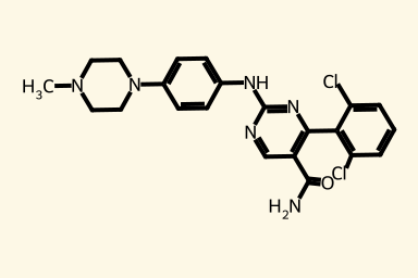 CN1CCN(c2ccc(Nc3ncc(C(N)=O)c(-c4c(Cl)cccc4Cl)n3)cc2)CC1